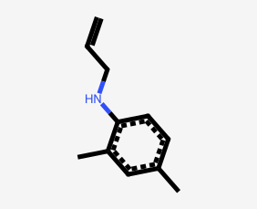 C=CCNc1ccc(C)cc1C